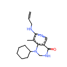 C=CCNc1ncc2c(c1C)N(C1CCCCC1)CNC2=O